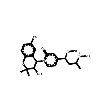 CC(CC(O[N+](=O)[O-])c1ccn(C2c3cc(C#N)ccc3OC(C)(C)C2O)c(=O)c1)O[N+](=O)[O-]